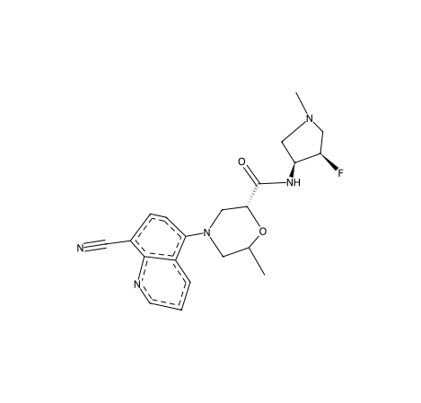 CC1CN(c2ccc(C#N)c3ncccc23)C[C@H](C(=O)N[C@H]2CN(C)C[C@H]2F)O1